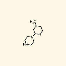 CN1CC[N]C(N2CCNCC2)C1